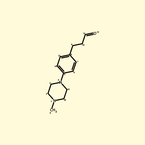 CN1CCN(c2ccc(CCC=O)cc2)CC1